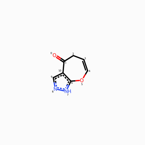 O=C1CC=COc2[nH]ncc21